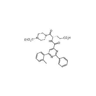 CCOC(=O)N1CCN(C(=O)[C@H](CCC(=O)O)NC(=O)c2cc(-c3ccccc3C)nc(-c3ccccc3)n2)CC1